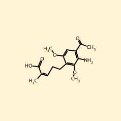 COc1cc(C(C)=O)c(N)c(OC)c1CCC=C(C)C(=O)O